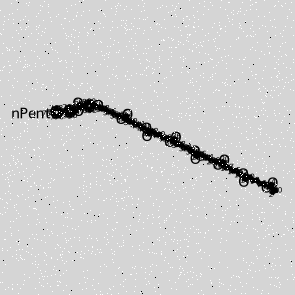 C=C(C)C(=O)OCCCCCC(=O)OCCCCCC(=O)OCCCCCC(=O)OCCCCCC(=O)OCCCCCC(=O)OCCCCCC(=O)OCCCCCCOc1ccc(C(=O)Oc2ccc(C3CCC(CCCCC)CC3)cc2)cc1